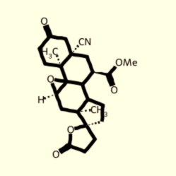 COC(=O)[C@@H]1C[C@]2(C#N)CC(=O)CC[C@]2(C)C23O[C@@H]2C[C@@]2(C)C(CC[C@@]24CCC(=O)O4)C13